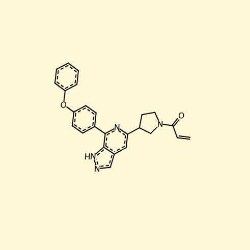 C=CC(=O)N1CCC(c2cc3cn[nH]c3c(-c3ccc(Oc4ccccc4)cc3)n2)C1